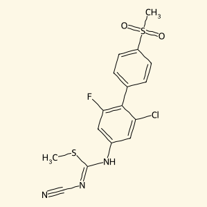 CS/C(=N\C#N)Nc1cc(F)c(-c2ccc(S(C)(=O)=O)cc2)c(Cl)c1